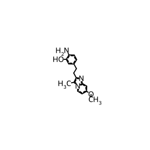 COc1ccn2c(C)c(CCc3ccc(N)c(O)c3)nc2c1